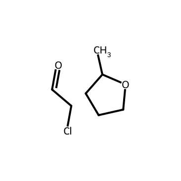 CC1CCCO1.O=CCCl